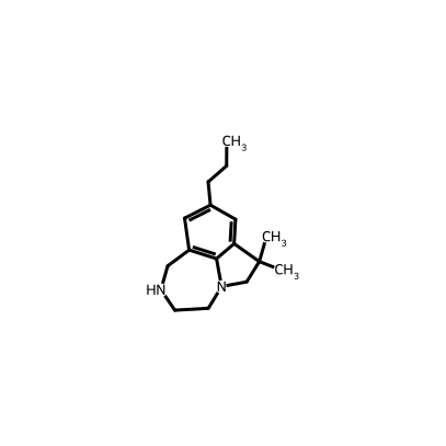 CCCc1cc2c3c(c1)C(C)(C)CN3CCNC2